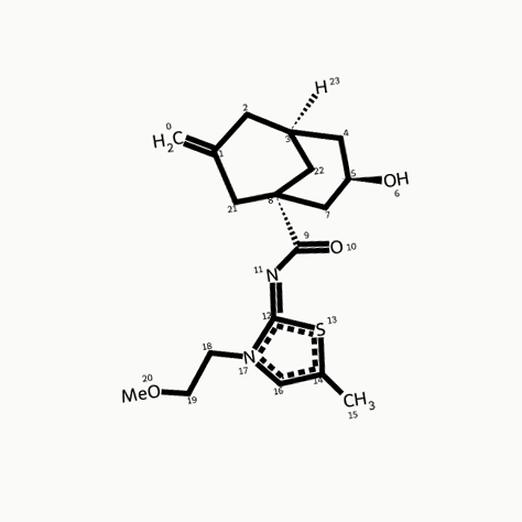 C=C1C[C@H]2C[C@@H](O)C[C@@](C(=O)N=c3sc(C)cn3CCOC)(C1)C2